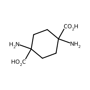 NC1(C(=O)O)CCC(N)(C(=O)O)CC1